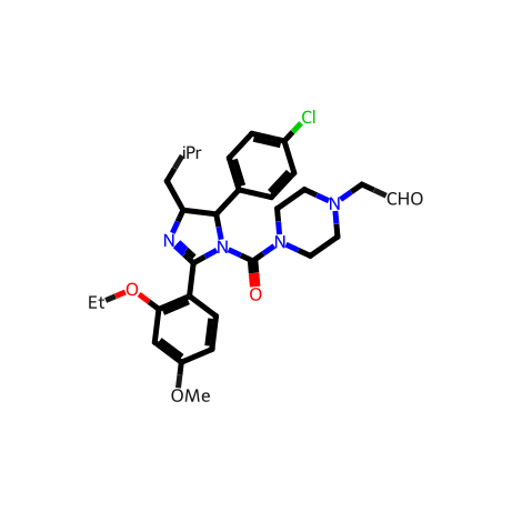 CCOc1cc(OC)ccc1C1=NC(CC(C)C)C(c2ccc(Cl)cc2)N1C(=O)N1CCN(CC=O)CC1